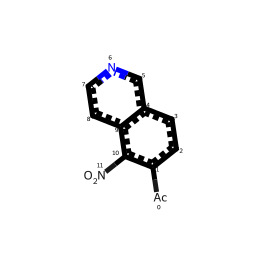 CC(=O)c1ccc2cnccc2c1[N+](=O)[O-]